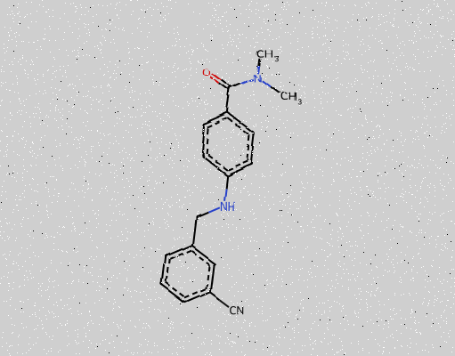 CN(C)C(=O)c1ccc(NCc2cccc(C#N)c2)cc1